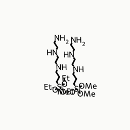 CCO[Si](CCCNCCNCCN)(OCC)OCC.CO[Si](CCCNCCNCCN)(OC)OC